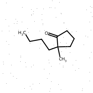 CCCCC1(C)CCCC1=O